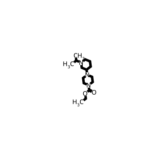 CCOC(=O)N1CCN(C2CCCN(C(C)C)C2)CC1